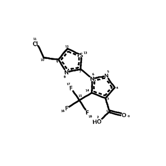 O=C(O)c1cnn(-c2nc(CCl)cs2)c1C(F)(F)F